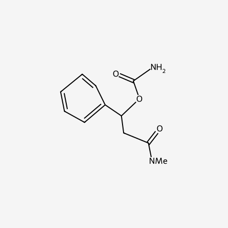 CNC(=O)CC(OC(N)=O)c1ccccc1